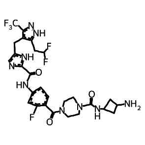 NC1CC(NC(=O)N2CCN(C(=O)c3ccc(NC(=O)c4ncc(Cc5c(C(F)(F)F)n[nH]c5CC(F)F)[nH]4)cc3F)CC2)C1